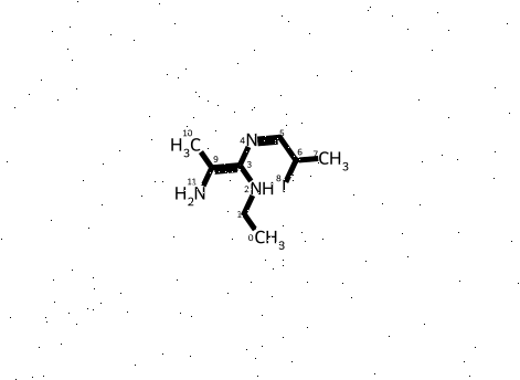 CCNC(/N=C\C(C)I)=C(/C)N